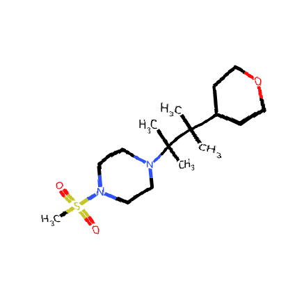 CC(C)(C1CCOCC1)C(C)(C)N1CCN(S(C)(=O)=O)CC1